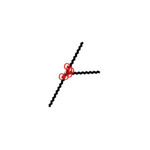 CCCCCCCCCCCCCCCCCC(=O)OC[C@H](COC(=O)CCCCCCCCCCCCCCC)OC(=O)CCCCCCCCCCCCCCC